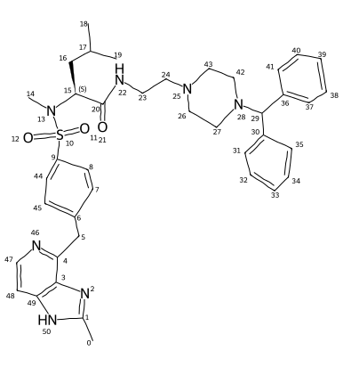 Cc1nc2c(Cc3ccc(S(=O)(=O)N(C)[C@@H](CC(C)C)C(=O)NCCN4CCN(C(c5ccccc5)c5ccccc5)CC4)cc3)nccc2[nH]1